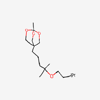 CC(C)CCOC(C)(C)CCCC12COC(C)(OC1)OC2